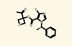 CC(=O)C1(OC(=O)c2c(F)ncn2[C@H](C)c2ccccc2)COC1